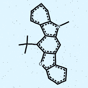 Cn1c2ccccc2c2c(C(C)(C)C)c3oc4ccccc4c3cc21